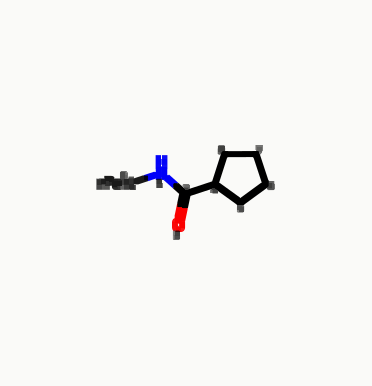 CCCCCNC(=O)C1CCCC1